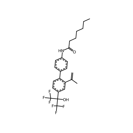 C=C(C)c1cc(C(O)(C(F)(F)F)C(F)(F)F)ccc1-c1ccc(NC(=O)CCCCCC)cc1